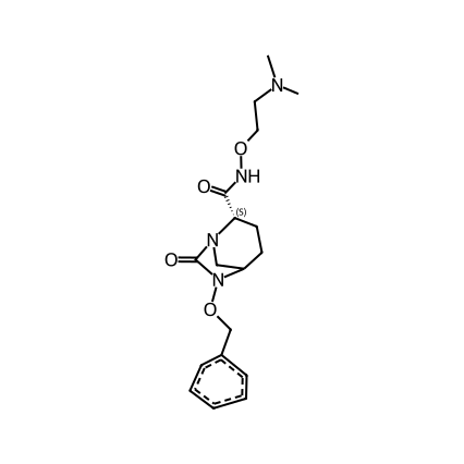 CN(C)CCONC(=O)[C@@H]1CCC2CN1C(=O)N2OCc1ccccc1